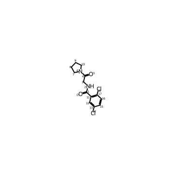 O=C(NCC(=O)N1CCCC1)c1cc(Cl)ccc1Cl